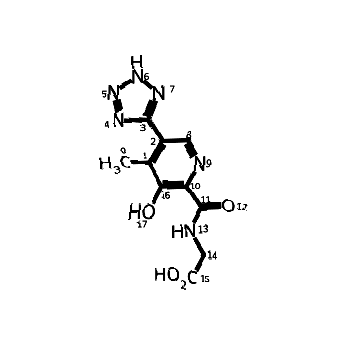 Cc1c(-c2nn[nH]n2)cnc(C(=O)NCC(=O)O)c1O